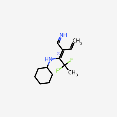 C=C/C(C=N)=C(/NC1CCCCC1)C(C)(F)F